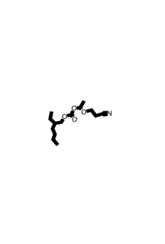 CCCCC(CC)COC(=O)OC(C)OCCC#N